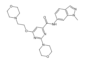 Cn1ncc2ccc(NC(=O)c3cc(OCCN4CCOCC4)nc(N4CCOCC4)n3)cc21